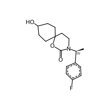 C[C@@H](c1ccc(F)cc1)N1CCC2(CCC(O)CC2)OC1=O